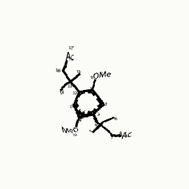 COc1cc(C(C)(C)CC(C)=O)c(OC)cc1C(C)(C)CC(C)=O